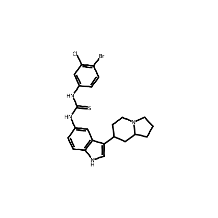 S=C(Nc1ccc(Br)c(Cl)c1)Nc1ccc2[nH]cc(C3CCN4CCCC4C3)c2c1